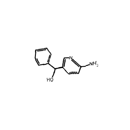 Nc1ccc(C(O)c2ccccc2)cn1